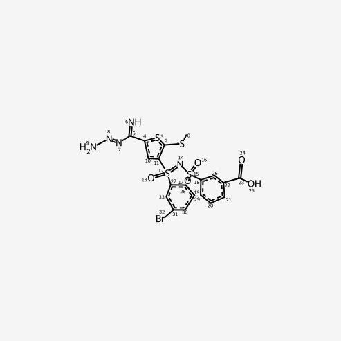 CSc1sc(C(=N)N=NN)cc1S(=O)(=NS(=O)(=O)c1cccc(C(=O)O)c1)c1cccc(Br)c1